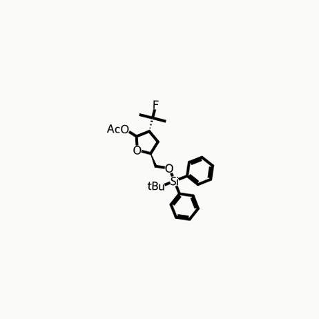 CC(=O)OC1O[C@H](CO[Si](c2ccccc2)(c2ccccc2)C(C)(C)C)C[C@H]1C(C)(C)F